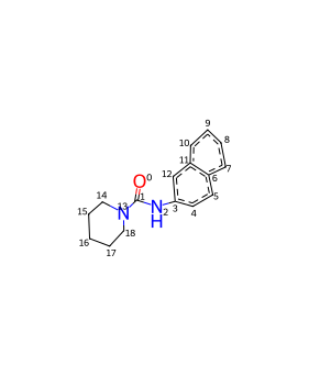 O=C(Nc1ccc2ccccc2c1)N1CCCCC1